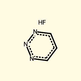 F.c1cnnnc1